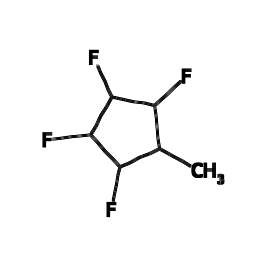 CC1C(F)C(F)C(F)C1F